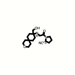 N#C[C@H]1CCCN1C(=O)CNC1(CO)CCC2(CCOCC2)CC1